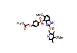 COC(=O)COc1ccc(S(=O)(=O)c2c(OC)ccc3[nH]c([S+]([O-])Cc4ncc(C)c(OC)c4C)nc23)cc1